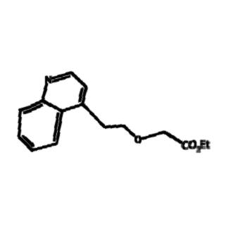 CCOC(=O)COCCc1ccnc2ccccc12